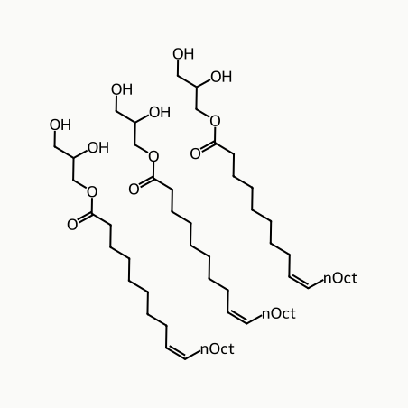 CCCCCCCC/C=C\CCCCCCCC(=O)OCC(O)CO.CCCCCCCC/C=C\CCCCCCCC(=O)OCC(O)CO.CCCCCCCC/C=C\CCCCCCCC(=O)OCC(O)CO